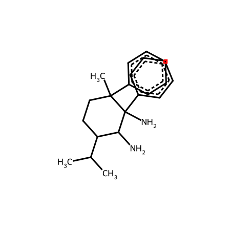 CC(C)C1CCC(C)(c2ccccc2)C(N)(c2ccccc2)C1N